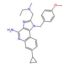 CCN(C)Cc1nc2c(N)nc3cc(C4CC4)ccc3c2n1Cc1ccc(OC)cc1